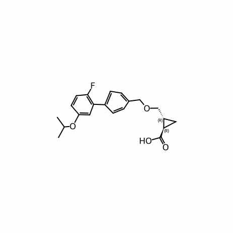 CC(C)Oc1ccc(F)c(-c2ccc(COC[C@@H]3C[C@H]3C(=O)O)cc2)c1